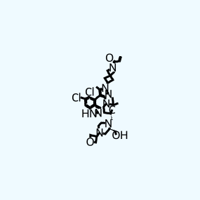 C=CC(=O)N1CC2(CC(n3nc(N4CC[C@@H](CN5CCN(C6COC6)C[C@@H]5CO)CC4(C)C)c(-c4c(Cl)c(Cl)cc5[nH]ncc45)c3C)C2)C1